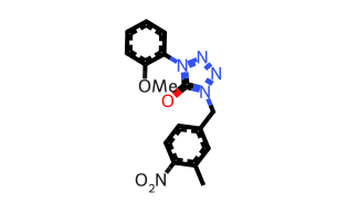 COc1ccccc1-n1nnn(Cc2ccc([N+](=O)[O-])c(C)c2)c1=O